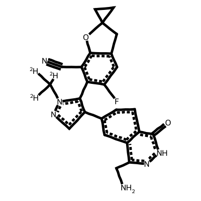 [2H]C([2H])([2H])n1ncc(-c2ccc3c(=O)[nH]nc(CN)c3c2)c1-c1c(F)cc2c(c1C#N)OC1(CC1)C2